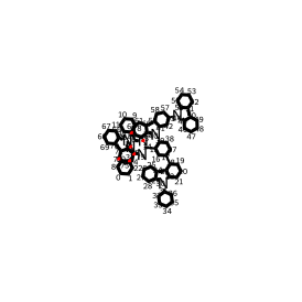 c1ccc(-c2nc(-c3ccccc3)nc(-c3cc(-c4cccc5c4c4ccccc4n5-c4ccccc4)ccc3-n3c4cc(-n5c6ccccc6c6ccccc65)ccc4c4ccc(-n5c6ccccc6c6ccccc65)cc43)n2)cc1